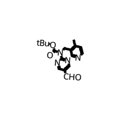 Cc1ccncc1CN(C(=O)OC(C)(C)C)c1ncc(C=O)cn1